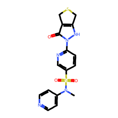 CN(c1ccncc1)S(=O)(=O)c1ccc(-n2[nH]c3c(c2=O)CSC3)nc1